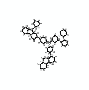 c1ccc(-c2ccccc2-c2cccc(N(c3ccc(-c4ccc5c6ccccc6n(-c6ccccc6)c5c4)cc3)c3ccc(-c4cccc5c4ccc4ccccc45)cc3)c2)cc1